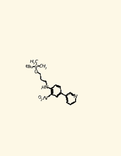 CC(C)(C)[Si](C)(C)OCCCNc1ccc(-c2cccnc2)cc1[N+](=O)[O-]